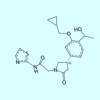 CC(O)c1ccc([C@@H]2CC(=O)N(CC(=O)Nc3nccs3)C2)cc1OCC1CC1